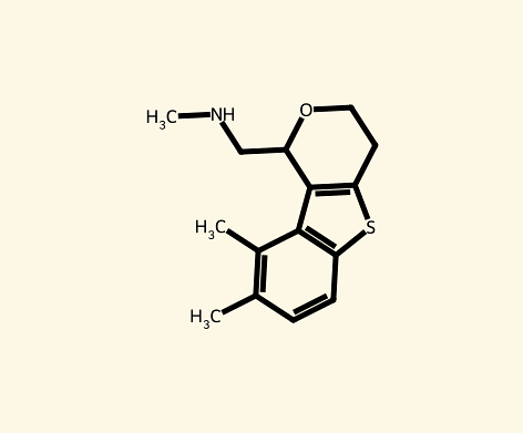 CNCC1OCCc2sc3ccc(C)c(C)c3c21